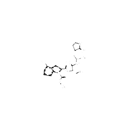 CC(C)C[C@H](NC(=O)c1cc2c(O)cccc2n1C(=O)OC(C)(C)C)C(=O)N[C@H](C#N)C[C@@H]1CCNC1O